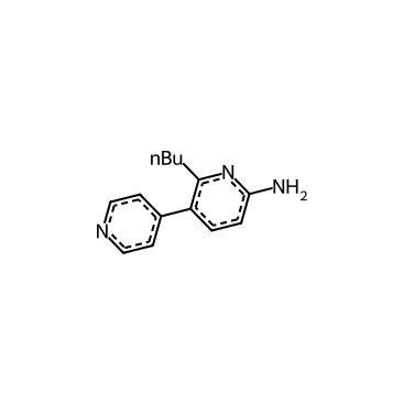 CCCCc1nc(N)ccc1-c1ccncc1